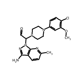 COc1cc(N2CCN(C(C=O)n3nc(N)c4ccc(C)nc43)CC2)ccc1Cl